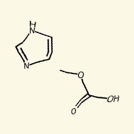 COC(=O)O.c1c[nH]cn1